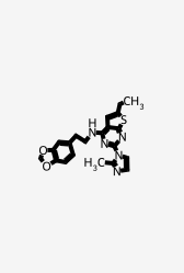 CCc1cc2c(NCCc3ccc4c(c3)OCO4)nc(-n3ccnc3C)nc2s1